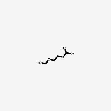 CCC(O)OCCOCO